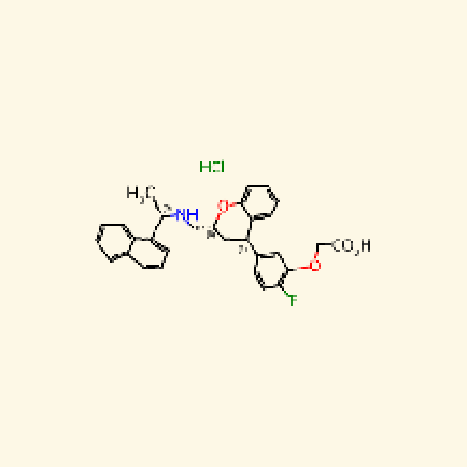 C[C@@H](NC[C@H]1C[C@H](c2ccc(F)c(OCC(=O)O)c2)c2ccccc2O1)c1cccc2ccccc12.Cl